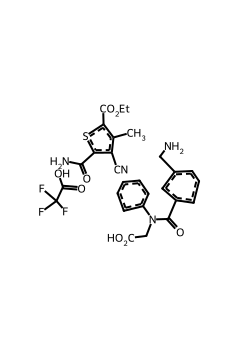 CCOC(=O)c1sc(C(N)=O)c(C#N)c1C.NCc1cccc(C(=O)N(CC(=O)O)c2ccccc2)c1.O=C(O)C(F)(F)F